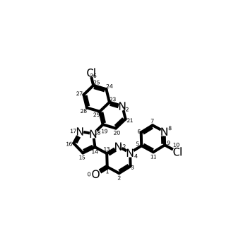 O=c1ccn(-c2ccnc(Cl)c2)nc1-c1ccnn1-c1ccnc2cc(Cl)ccc12